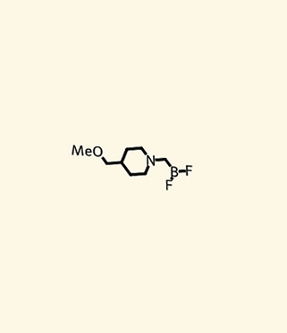 COCC1CCN(CB(F)F)CC1